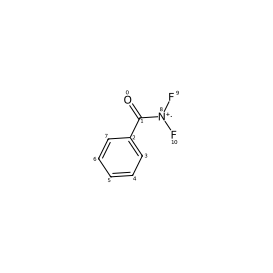 O=C(c1ccccc1)[N+](F)F